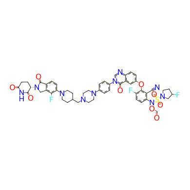 N#Cc1c(N(OC=O)S(=O)(=O)N2CC[C@@H](F)C2)ccc(F)c1Oc1ccc2ncn(-c3ccc(N4CCN(CC5CCN(c6ccc7c(c6F)CN([C@H]6CCC(=O)NC6=O)C7=O)CC5)CC4)cc3)c(=O)c2c1